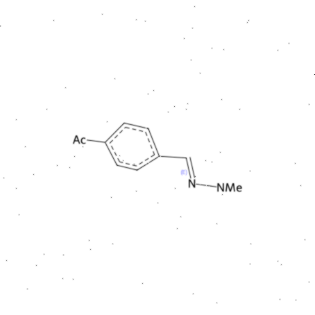 CN/N=C/c1ccc(C(C)=O)cc1